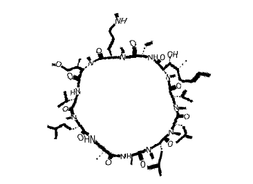 C/C=C/C[C@@H](C)[C@@H](O)[C@H]1C(=O)N[C@@H](CC)C(=O)N(C)[C@H](CCCNC)C(=O)N(C)[C@@H]([C@H](C)COC)C(=O)N[C@@H](C(C)C)C(=O)N(C)[C@@H](CCC(C)C)C(=O)N[C@@H](C)C(=O)N[C@H](C)C(=O)N(C)[C@@H](CC(C)C)C(=O)N(C)[C@@H](CC(C)C)C(=O)N(C)[C@@H](C(C)C)C(=O)N1C